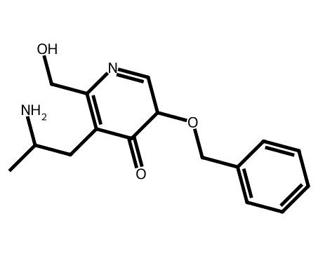 CC(N)CC1=C(CO)N=CC(OCc2ccccc2)C1=O